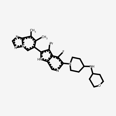 Cc1c(-c2[nH]c3cnc(N4CCC(NC5CCOCC5)CC4)c(F)c3c2C(C)C)cn2ncnc2c1C